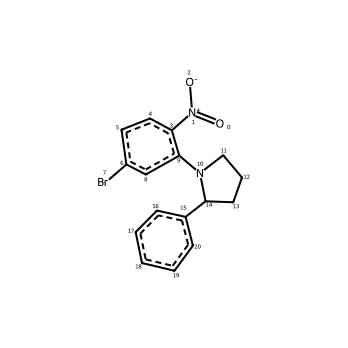 O=[N+]([O-])c1ccc(Br)cc1N1CCCC1c1ccccc1